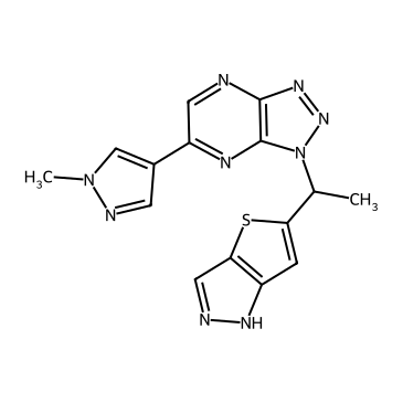 CC(c1cc2[nH]ncc2s1)n1nnc2ncc(-c3cnn(C)c3)nc21